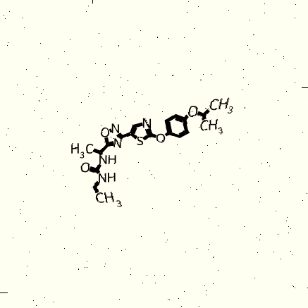 CCNC(=O)NC(C)c1nc(-c2cnc(Oc3ccc(OC(C)C)cc3)s2)no1